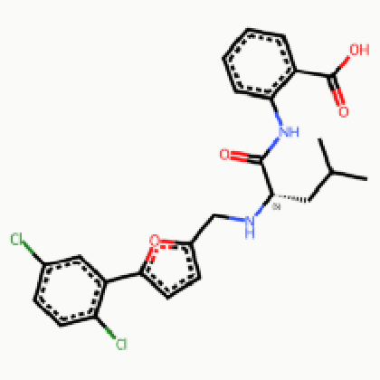 CC(C)C[C@H](NCc1ccc(-c2cc(Cl)ccc2Cl)o1)C(=O)Nc1ccccc1C(=O)O